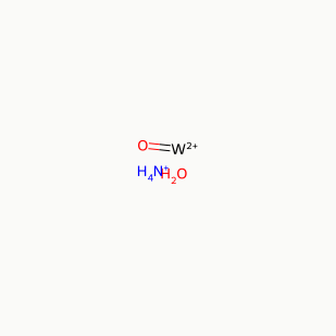 O.[NH4+].[O]=[W+2]